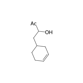 CC(=O)C(O)CC1CC=CCC1